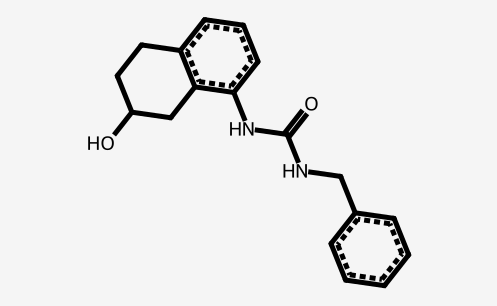 O=C(NCc1ccccc1)Nc1cccc2c1CC(O)CC2